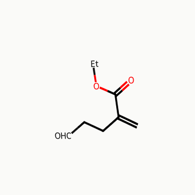 C=C(CCC=O)C(=O)OCC